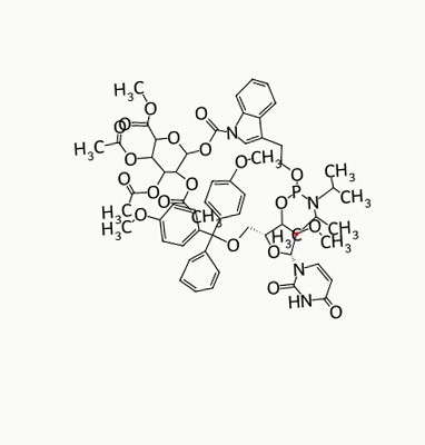 COC(=O)C1OC(OC(=O)n2cc(CCOP(OC3C(OC)[C@H](n4ccc(=O)[nH]c4=O)O[C@@H]3COC(c3ccccc3)(c3ccc(OC)cc3)c3ccc(OC)cc3)N(C(C)C)C(C)C)c3ccccc32)C(OC(C)=O)C(OC(C)=O)C1OC(C)=O